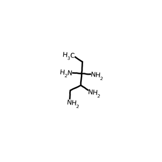 CCC(N)(N)C(N)CN